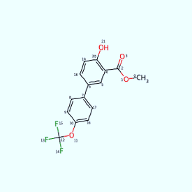 COC(=O)c1cc(-c2ccc(OC(F)(F)F)cc2)ccc1O